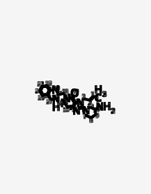 CC=CCn1c(N2CCCC(N)C2)nc2cnn(CC3=Nc4ccccc4CN3)c(=O)c21